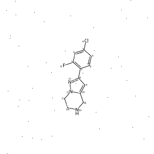 Fc1cc(Cl)ccc1-c1cc2n(n1)CCNC2